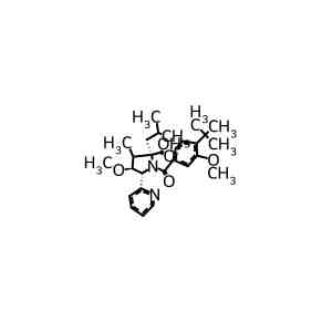 COc1cc(C(=O)N2[C@H](c3ccccn3)[C@@H](OC)C(C)[C@@]2(CC(C)C)C(=O)O)ccc1C(C)(C)C